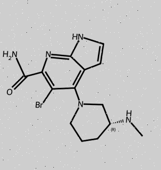 CN[C@@H]1CCCN(c2c(Br)c(C(N)=O)nc3[nH]c[c]c23)C1